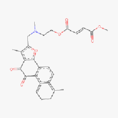 COC(=O)/C=C/C(=O)OCCN(C)Cc1oc2c(c1C)C(=O)C(=O)c1c-2ccc2c1=CCCC=2C